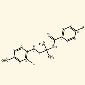 CC(C)(CNc1ncc(C=O)cc1I)NC(=O)c1ccc(F)cc1